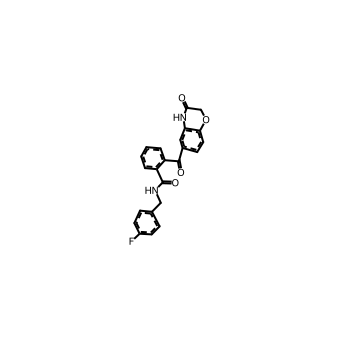 O=C1COc2ccc(C(=O)c3ccccc3C(=O)NCc3ccc(F)cc3)cc2N1